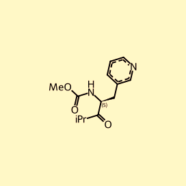 COC(=O)N[C@@H](Cc1cccnc1)C(=O)C(C)C